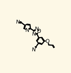 C=CCOc1cc(C#N)cc(-c2nc(-c3ccc(C#N)cn3)no2)c1